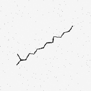 [CH2]CCCCCCCCCCCC(C)C